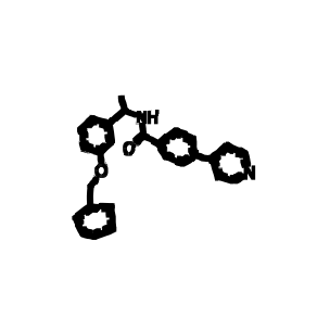 CC(NC(=O)c1ccc(-c2ccncc2)cc1)c1cccc(OCc2ccccc2)c1